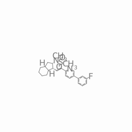 CN([C@H]1C[C@H]2CCCC[C@H]2[C@@H]1/C=C/c1ccc(-c2cccc(F)c2)cn1)S(C)(=O)=O